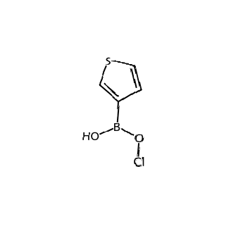 OB(OCl)c1ccsc1